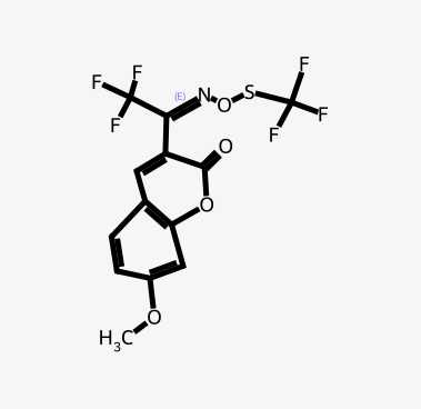 COc1ccc2cc(/C(=N\OSC(F)(F)F)C(F)(F)F)c(=O)oc2c1